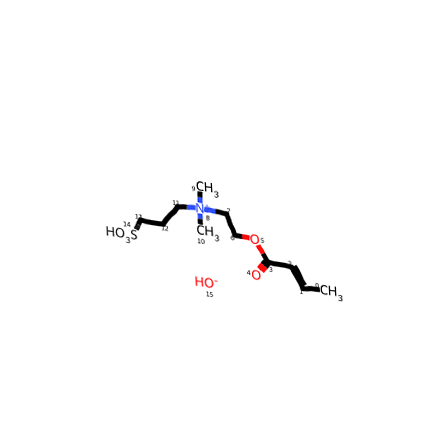 CC=CC(=O)OCC[N+](C)(C)CCCS(=O)(=O)O.[OH-]